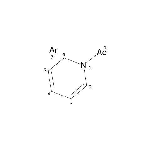 CC(=O)N1C=CC=CC1.[Ar]